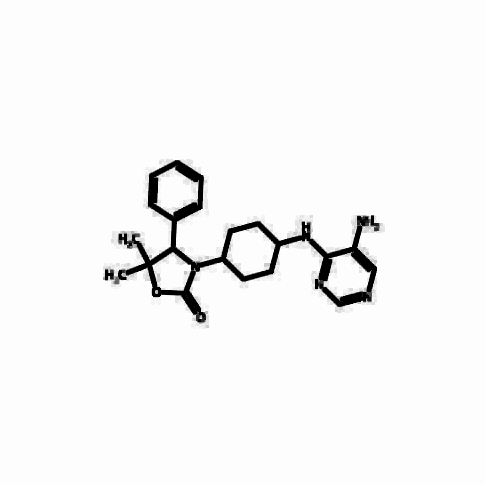 CC1(C)OC(=O)N(C2CCC(Nc3ncncc3N)CC2)C1c1ccccc1